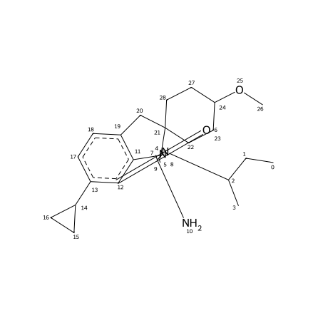 CCC(C)N1C(=O)C2(N=C1N)c1cc(C3CC3)ccc1CC21CCC(OC)CC1